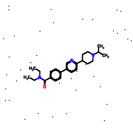 CCN(CC)C(=O)c1ccc(-c2ccc(C3CCN(C(C)C)CC3)nc2)cc1